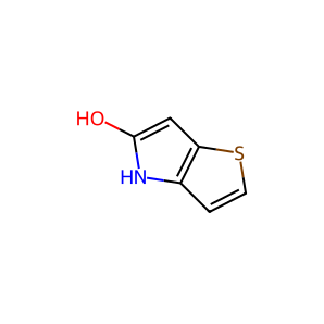 Oc1cc2sccc2[nH]1